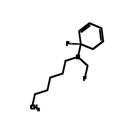 CCCCCCN(CF)C1(F)C=CC=CC1